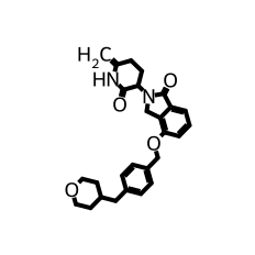 C=C1CCC(N2Cc3c(OCc4ccc(CC5CCOCC5)cc4)cccc3C2=O)C(=O)N1